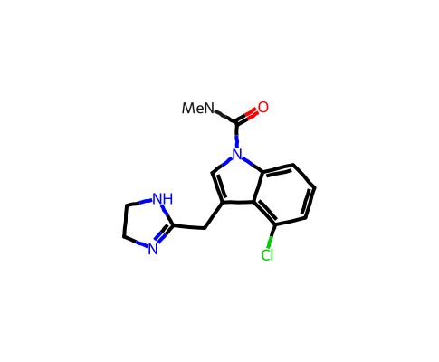 CNC(=O)n1cc(CC2=NCCN2)c2c(Cl)cccc21